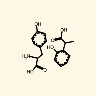 CC(C(=O)O)c1ccccc1O.NC(Cc1ccc(O)cc1)C(=O)O